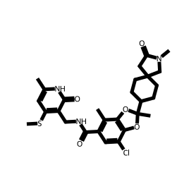 CSc1cc(C)[nH]c(=O)c1CNC(=O)c1cc(Cl)c2c(c1C)OC(C)(C1CCC3(CC1)CC(=O)N(C)C3)O2